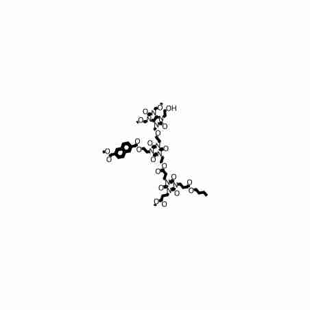 CCCCOC(=O)CCn1c(=O)n(CCC(=O)OC)c(=O)n(CCC(=O)OCCn2c(=O)n(CCOCN3C(=O)N(CCO)C4C3N(COC)C(=O)N4COC)c(=O)n(CCOC(=O)c3ccc4cc(C(=O)OC)ccc4c3)c2=O)c1=O